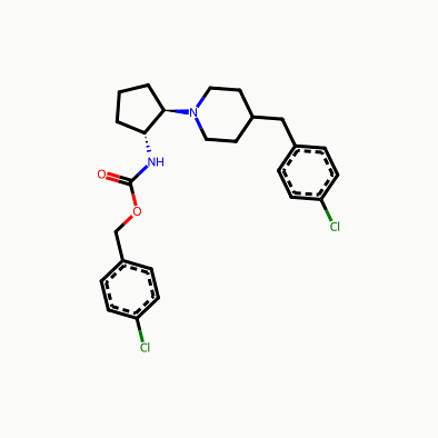 O=C(N[C@@H]1CCC[C@H]1N1CCC(Cc2ccc(Cl)cc2)CC1)OCc1ccc(Cl)cc1